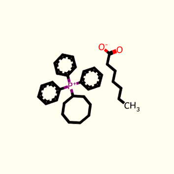 CCCCCCC(=O)[O-].c1ccc([P+](c2ccccc2)(c2ccccc2)C2CCCCCCC2)cc1